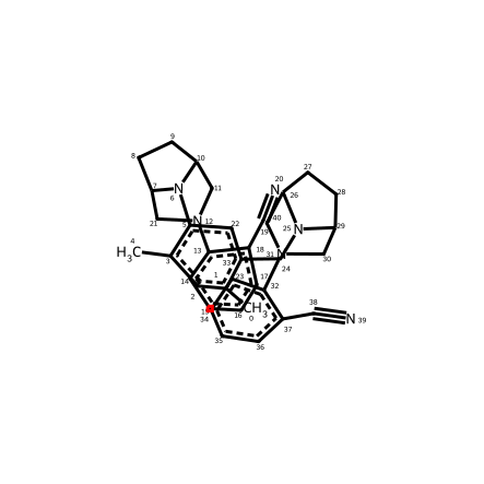 Cc1cc(C)c(N2C3CCC2CN(c2ccccc2C#N)C3)cc1CN1C2CCC1CN(c1ccccc1C#N)C2